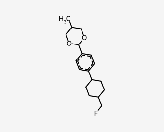 CC1COC(c2ccc(C3CCC(CF)CC3)cc2)OC1